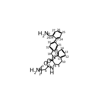 CC(C)(N)CC(=O)N[C@@H]1CCc2ccccc2N(Cc2ccc(-c3ccccc3CN)cc2)C1=O